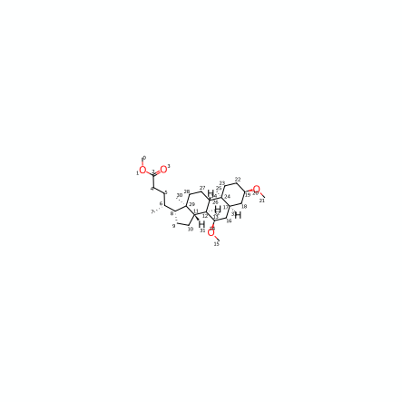 COC(=O)CC[C@@H](C)[C@H]1CC[C@H]2[C@@H]3[C@H](OC)C[C@@H]4C[C@H](OC)CC[C@]4(C)[C@H]3CC[C@]12C